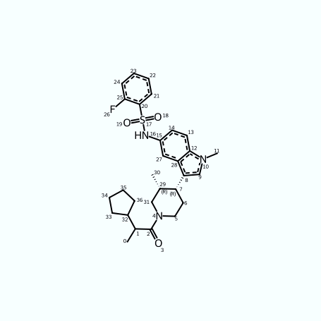 CC(C(=O)N1CC[C@@H](c2cn(C)c3ccc(NS(=O)(=O)c4ccccc4F)cc23)[C@@H](C)C1)C1CCCC1